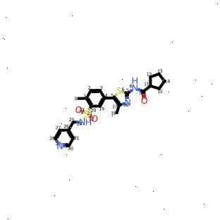 Cc1ccc(-c2sc(NC(=O)C3CCCC3)nc2C)cc1S(=O)(=O)NCc1ccncc1